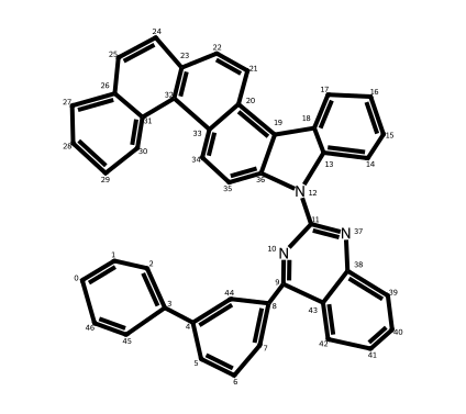 c1ccc(-c2cccc(-c3nc(-n4c5ccccc5c5c6ccc7ccc8ccccc8c7c6ccc54)nc4ccccc34)c2)cc1